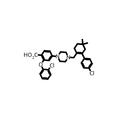 CC1(C)CCC(CN2CCN(c3ccc(C(=O)O)c(Oc4ccccc4Cl)c3)CC2)=C(c2ccc(Cl)cc2)C1